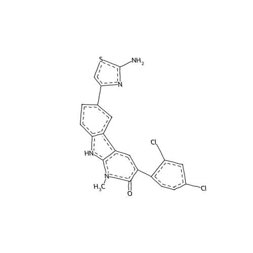 Cn1c(=O)c(-c2ccc(Cl)cc2Cl)cc2c3cc(-c4csc(N)n4)ccc3[nH]c21